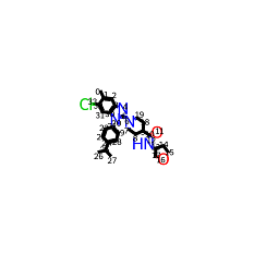 Cc1cc2nc(N3CCC(C(=O)N[C@@H]4CCOC4)CC3)n(-c3ccc(C(C)C)cc3)c2cc1Cl